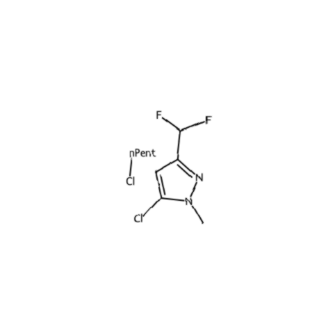 CCCCCCl.Cn1nc(C(F)F)cc1Cl